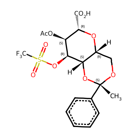 CC(=O)O[C@@H]1[C@H](OS(=O)(=O)C(F)(F)F)[C@H]2O[C@@](C)(c3ccccc3)OC[C@H]2O[C@H]1C(=O)O